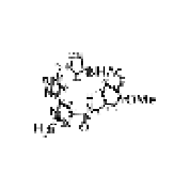 COc1cc(CNC(=O)c2cc(-c3nnn(C[C@@H]4CC[C@H](NC(C)=O)C4)n3)nc(C)n2)ccc1F